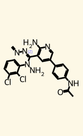 C=N/N=C(/c1cc(-c2ccc(NC(C)=O)cc2)cnc1N)N(N)c1cccc(Cl)c1Cl